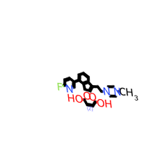 CN1CCN(CCC2=CCc3c2cccc3-c2ccc(F)nc2)CC1.O=C(O)/C=C\C(=O)O